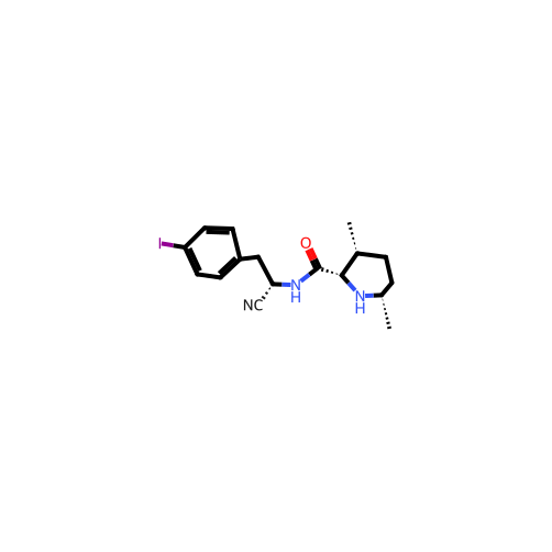 C[C@@H]1CC[C@H](C)N[C@@H]1C(=O)N[C@H](C#N)Cc1ccc(I)cc1